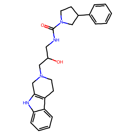 O=C(NCC(O)CN1CCc2c([nH]c3ccccc23)C1)N1CCC(c2ccccc2)C1